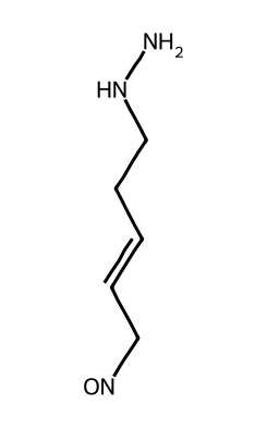 NNCC/C=C/CN=O